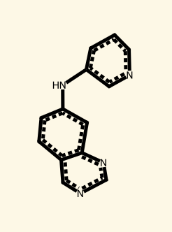 c1cncc(Nc2ccc3cncnc3c2)c1